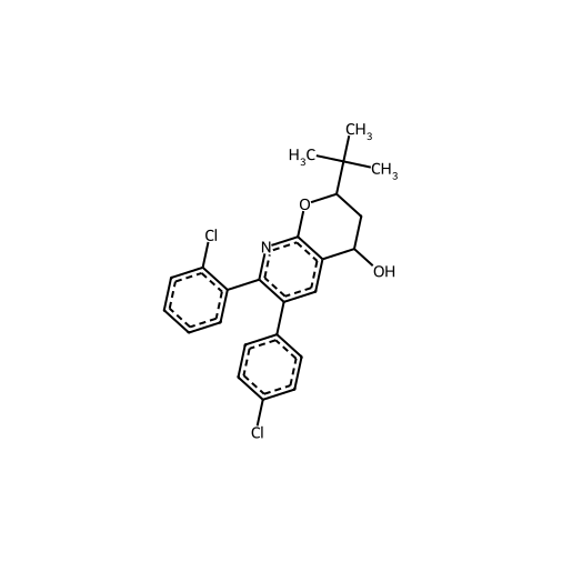 CC(C)(C)C1CC(O)c2cc(-c3ccc(Cl)cc3)c(-c3ccccc3Cl)nc2O1